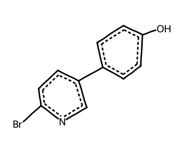 Oc1ccc(-c2ccc(Br)nc2)cc1